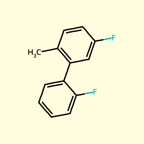 Cc1ccc(F)cc1-c1ccccc1F